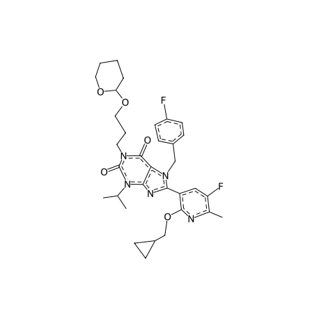 Cc1nc(OCC2CC2)c(-c2nc3c(c(=O)n(CCCOC4CCCCO4)c(=O)n3C(C)C)n2Cc2ccc(F)cc2)cc1F